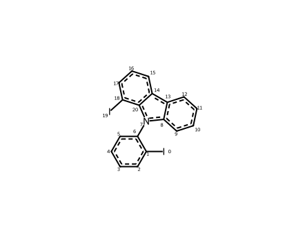 Ic1ccccc1-n1c2ccccc2c2cccc(I)c21